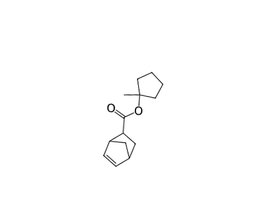 CC1(OC(=O)C2CC3C=CC2C3)CCCC1